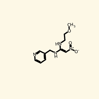 COCCNC(=C[N+](=O)[O-])NCc1cccnc1